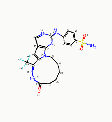 NS(=O)(=O)c1ccc(Nc2ncc3cc4n(c3n2)CCCCCC(=O)N/N=C\4C(F)(F)F)cc1